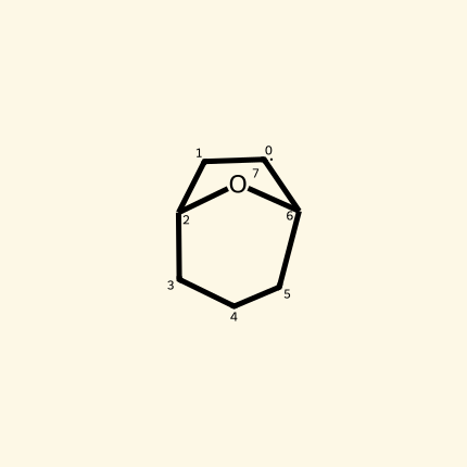 [CH]1CC2CCCC1O2